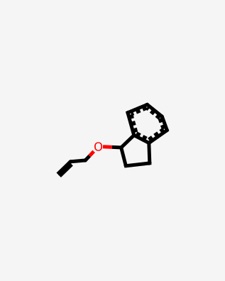 C=CCOC1CCc2ccccc21